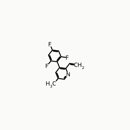 C=Cc1ncc(C)cc1-c1c(F)cc(F)cc1F